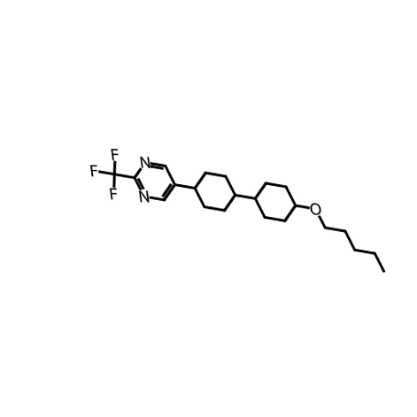 CCCCCOC1CCC(C2CCC(c3cnc(C(F)(F)F)nc3)CC2)CC1